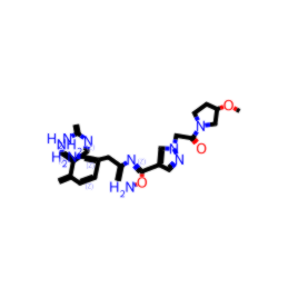 C=C(N)/N=C\C(=C/N)C(=C)/C=C\C(=C/N)CC(=C)/N=C(\ON)c1cnn(CC(=O)N2CCC(OC)C2)c1